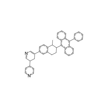 CC1c2ccc(C3=CN=CC(c4ccncc4)C3)cc2CCC1c1c2ccccc2c(-c2ccccc2)c2ccccc12